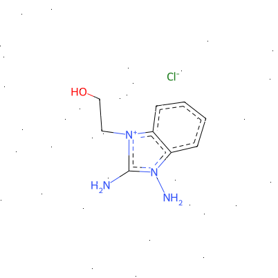 Nc1n(N)c2ccccc2[n+]1CCO.[Cl-]